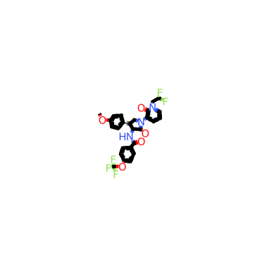 COc1ccc([C@@H]2CN(c3cccn(CC(F)F)c3=O)C(=O)C2NC(=O)c2ccc(OC(F)(F)F)cc2)cc1